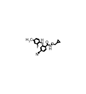 Cc1ccc(Nc2cc(C#N)ccc2C(=O)NOCC2CC2)c(F)c1